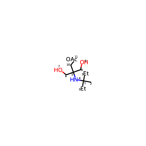 CCC(C)(CC)NC(CO)(CO)COC(C)=O